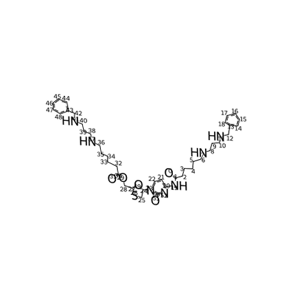 O=C(CCCCCNCCCNCc1ccccc1)Nc1ccn(C2CSC(COC(=O)CCCCCNCCCNCc3ccccc3)O2)c(=O)n1